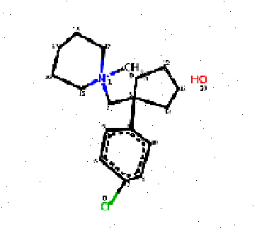 C[N+]1(CC2(c3ccc(Cl)cc3)CCCC2)CCCCC1.[OH-]